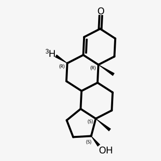 [3H][C@@H]1CC2C(CC[C@@]3(C)C2CC[C@@H]3O)[C@@]2(C)CCC(=O)C=C12